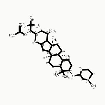 CC(=O)O[C@@H]([C@H]1C[C@@H](C)C2C(CC3[C@@H]4CCC5C(CC[C@H](OC6CN(O)CCO6)C5(C)C)[C@]4(C)CC[C@]23C)O1)C(C)(C)O